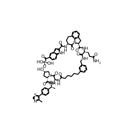 Cc1ncsc1-c1ccc([C@H](C)NC(=O)[C@@H]2C[C@@H](O)CN2C(=O)[C@@H](NC(=O)CCCCCc2cccc(CNC(=O)[C@H](CCC(N)=O)NC(=O)[C@@H]3Cc4cccc5c4N3C(=O)[C@@H](NC(=O)c3cc4cc(C(=O)P(=O)(O)O)ccc4[nH]3)CC5)c2)C(C)(C)C)cc1